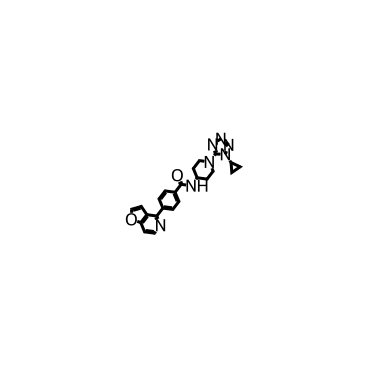 O=C(NC1CCN(c2nnnn2C2CC2)CC1)c1ccc(-c2nccc3occc23)cc1